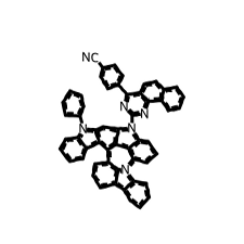 N#Cc1ccc(-c2nc(-n3c4cc5c(c6ccccc6n5-c5ccccc5)c5c6cccc7c8ccccc8n(c8cccc3c8c54)c76)nc3c2ccc2ccccc23)cc1